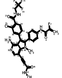 C=C(F)C(=O)Nc1ccc(-c2c(-c3ccc(C(=O)NCC(F)(F)F)c(Cl)c3)c3c(N)ncc(C#CC(=O)NC)c3n2C)cc1